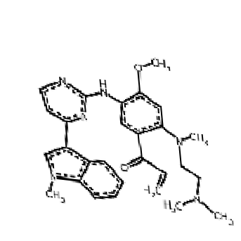 C=CC(=O)c1cc(Nc2nccc(-c3cn(C)c4ccccc34)n2)c(OC)cc1N(C)CCN(C)C